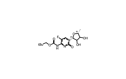 C[C@H]1O[C@@H](n2cc(F)c(NC(=O)OCC(C)(C)C)nc2=O)C(O)C1O